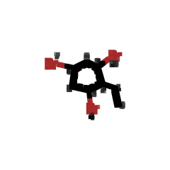 C=Cc1c(Br)cc(Br)cc1Br